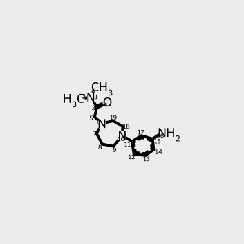 CN(C)C(=O)CN1CCCN(c2cccc(N)c2)CC1